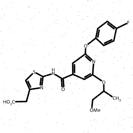 COCC(C)Oc1cc(C(=O)Nc2nc(CC(=O)O)cs2)cc(Oc2ccc(F)cc2)n1